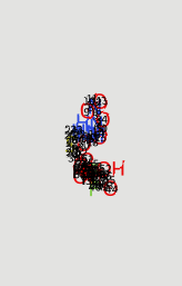 C[C@H](NC(=O)CCN1C(=O)C=CC1=O)C(=O)N[C@@H](C)C(=O)Nc1cccc(Sc2ccc(C3O[C@@H]4C[C@H]5C6C[C@H](F)C7=CC(=O)C=CC7(C)[C@@]6(F)C(O)CC5(C)[C@]4(C(=O)CO)O3)cc2)c1